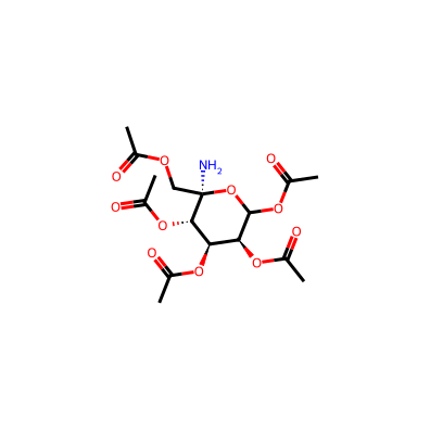 CC(=O)OC[C@@]1(N)OC(OC(C)=O)[C@@H](OC(C)=O)[C@@H](OC(C)=O)[C@@H]1OC(C)=O